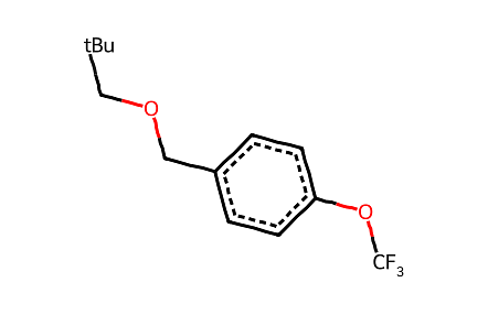 CC(C)(C)COCc1ccc(OC(F)(F)F)cc1